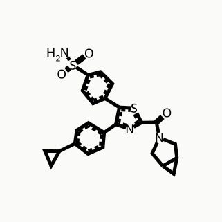 NS(=O)(=O)c1ccc(-c2sc(C(=O)N3CC4CC4C3)nc2-c2ccc(C3CC3)cc2)cc1